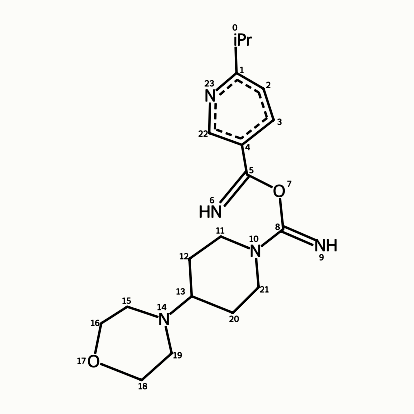 CC(C)c1ccc(C(=N)OC(=N)N2CCC(N3CCOCC3)CC2)cn1